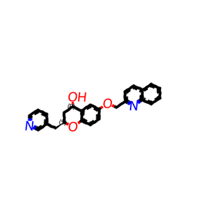 O[C@@H]1C[C@H](Cc2cccnc2)Oc2ccc(OCc3ccc4ccccc4n3)cc21